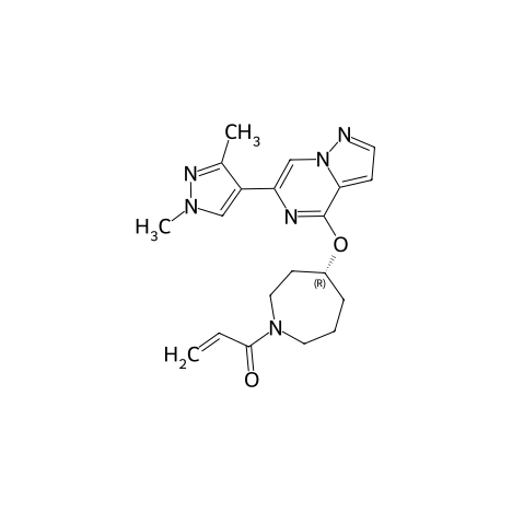 C=CC(=O)N1CCC[C@@H](Oc2nc(-c3cn(C)nc3C)cn3nccc23)CC1